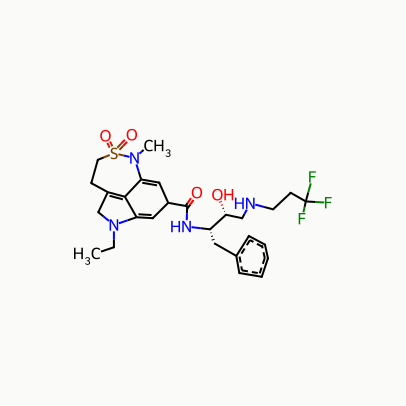 CCN1CC2=C3C1=CC(C(=O)N[C@@H](Cc1ccccc1)[C@H](O)CNCCC(F)(F)F)C=C3N(C)S(=O)(=O)CC2